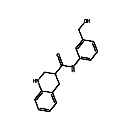 O=C(Nc1cccc(CO)c1)C1CNc2ccccc2C1